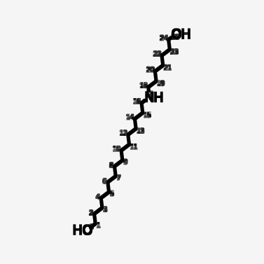 OCCCCCCCCCCCCCCCCNCCCCCCCO